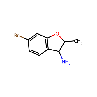 CC1Oc2cc(Br)ccc2C1N